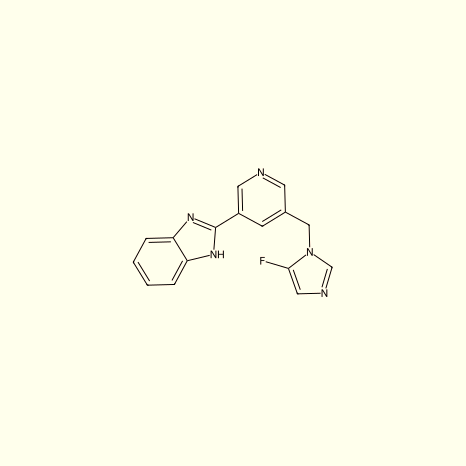 Fc1cncn1Cc1cncc(-c2nc3ccccc3[nH]2)c1